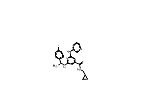 C[C@H](Nc1cc(C(=O)NCC2CC2)cc(Nc2cnccn2)n1)c1ccc(F)cc1